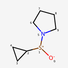 [O-][S+](C1CC1)N1CCCC1